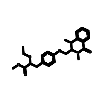 CCOC(Cc1ccc(OCC2N(C)C(=O)c3ccccc3N2C)cc1)C(=O)OC